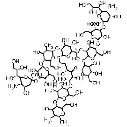 CC1C(O)[C@H](OC2OC(CO)[C@H](O)[C@H](O[C@]3(C(=O)O)C[C@@H](O)[C@@H](N)C([C@H](O)[C@H](O)CO)O3)C2O)[C@H](CO)O[C@H]1O[C@@H]1C(O)[C@H](O)C(CO)O[C@@H]1OCC[C@@H](O)C(O[C@H]1O[C@H](CO)[C@@H](O)C(O)C1O[C@@H]1OC(CO)[C@@H](O[C@@H]2OC(CO)[C@H](O)C(O[C@]3(C(=O)O)C[C@@H](O)[C@@H](N)C([C@H](O)[C@H](O)CO)O3)[C@@H]2O)C(O)[C@@H]1C)[C@@H](O)[C@@H](O)O[C@@H]1C(CO)O[C@@H](O[C@@H]2C(CO)O[C@@H](C)[C@@H](C)C2O)[C@@H](C)C1O